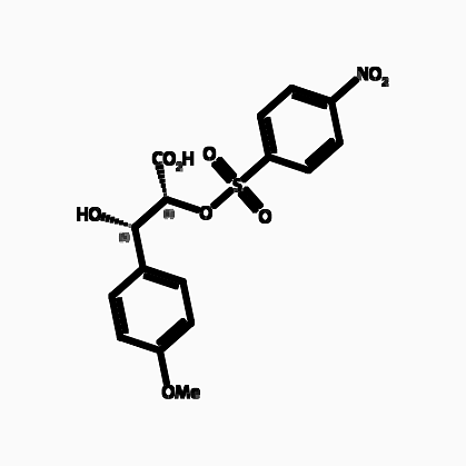 COc1ccc([C@H](O)[C@@H](OS(=O)(=O)c2ccc([N+](=O)[O-])cc2)C(=O)O)cc1